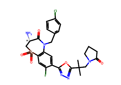 CC(C)(CN1CCCC1=O)c1nnc(-c2cc3c(cc2F)S(=O)(=O)C[C@H](N)C(=O)N3Cc2ccc(Cl)cc2)o1